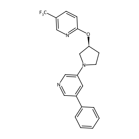 FC(F)(F)c1ccc(O[C@H]2CCN(c3cncc(-c4ccccc4)c3)C2)nc1